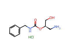 Cl.NC[C@H](CO)OC(=O)NCc1ccccc1